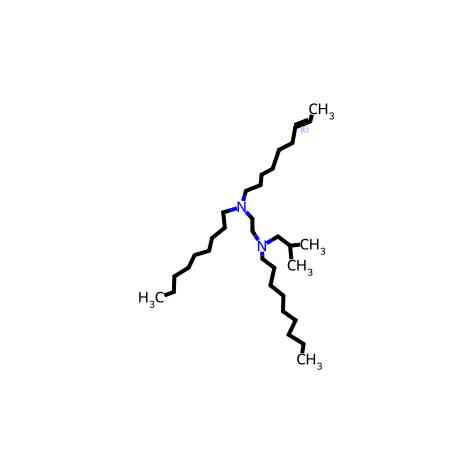 C/C=C/CCCCCCN(CCCCCCCCC)CCN(CCCCCCCCC)CC(C)C